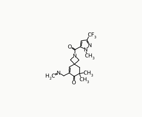 C=NCC1=CC2(CN(C(=O)c3cc(C(F)(F)F)nn3C)C2)CC(C)(C)C1=O